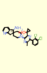 Cc1nc(N2CCC3(CC2)Cc2ncccc2[C@H]3N)c(C2(O)CC2)nc1-c1cccc(Cl)c1Cl